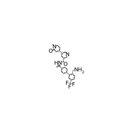 C[C@@H](NC(=O)c1cncc(-c2ccn(C)c(=O)c2)c1)c1ccc(-c2cc(C(F)(F)F)ccc2CN)cc1